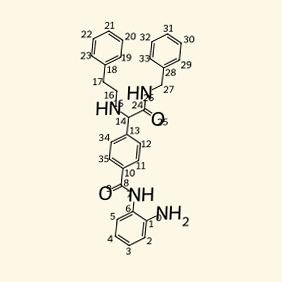 Nc1ccccc1NC(=O)c1ccc(C(NCCc2ccccc2)C(=O)NCc2ccccc2)cc1